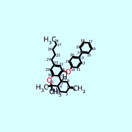 C=C1CC[C@@H]2[C@@H](C1)c1c(Oc3ccc(-c4ccccc4)cc3)cc(CCCCC)cc1OC2(C)C